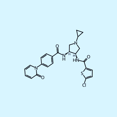 O=C(N[C@H]1CN(C2CC2)C[C@H]1NC(=O)c1ccc(Cl)s1)c1ccc(-n2ccccc2=O)cc1